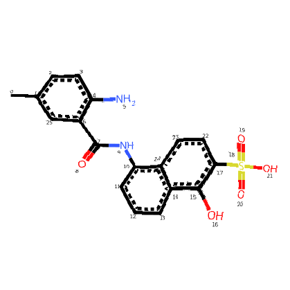 Cc1ccc(N)c(C(=O)Nc2cccc3c(O)c(S(=O)(=O)O)ccc23)c1